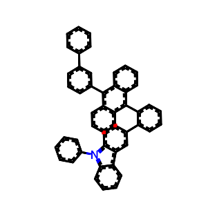 c1ccc(-c2cccc(-c3c4ccccc4c(-c4ccccc4-c4ccc5c(c4)c4ccccc4n5-c4ccccc4)c4ccccc34)c2)cc1